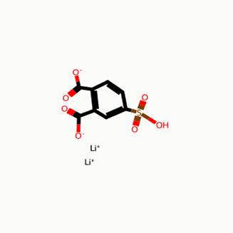 O=C([O-])c1ccc(S(=O)(=O)O)cc1C(=O)[O-].[Li+].[Li+]